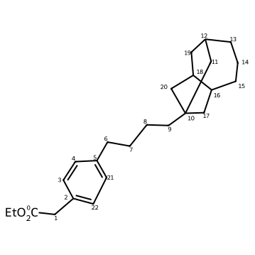 CCOC(=O)Cc1ccc(CCCCC23CC4CCCC(C2)C(C4)C3)cc1